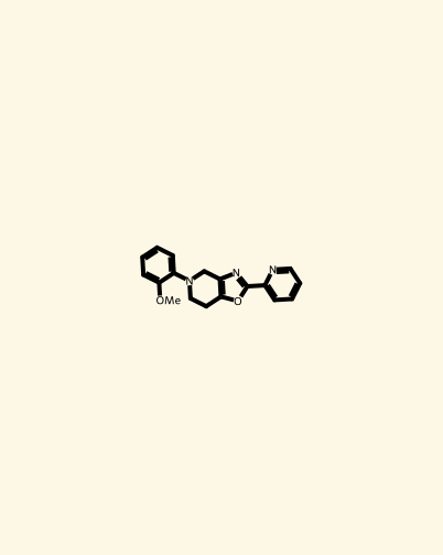 COc1ccccc1N1CCc2oc(-c3ccccn3)nc2C1